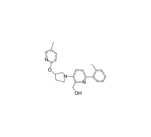 [CH2]c1ccccc1-c1ccc(N2CCC(Oc3ccc(C)cn3)C2)c(CO)n1